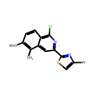 COc1ccc2c(Cl)nc(-c3nc(C(C)C)cs3)cc2c1C